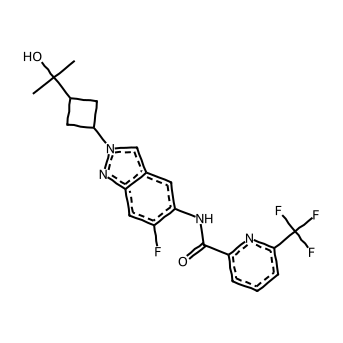 CC(C)(O)C1CC(n2cc3cc(NC(=O)c4cccc(C(F)(F)F)n4)c(F)cc3n2)C1